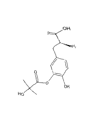 CC(C)(O)C(=O)Oc1cc(C[C@H](N)C(=O)O)ccc1O